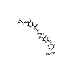 Cc1cc(C(=O)NCCNC(=O)c2ccc(O[C@H]3CC[C@@H](C(=O)O)CC3)cc2)ccc1OCC1CC1